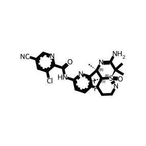 CC1(C)C(N)=N[C@](C)(c2nc(NC(=O)c3ncc(C#N)cc3Cl)ccc2F)[C@@H]2CCCN=[S@@]21=O